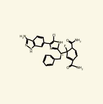 NC(=O)C1=CC(F)([C@@H](Cc2ccccc2)c2nc(-c3ccc4c(N)n[nH]c4c3)c(Cl)[nH]2)C(C(N)=O)C=C1